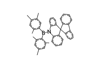 Cc1cc(C)c(B(c2cc(C)c(C)cc2C)N2c3ccccc3C3(c4ccccc4-c4ccccc43)c3ccccc32)c(C)c1